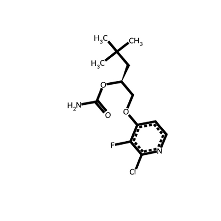 CC(C)(C)C[C@@H](COc1ccnc(Cl)c1F)OC(N)=O